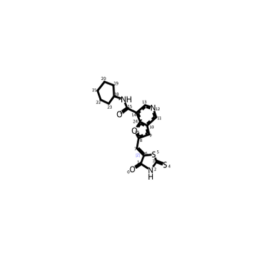 O=C1NC(=S)S/C1=C\c1cc2cncc(C(=O)NC3CCCCC3)c2o1